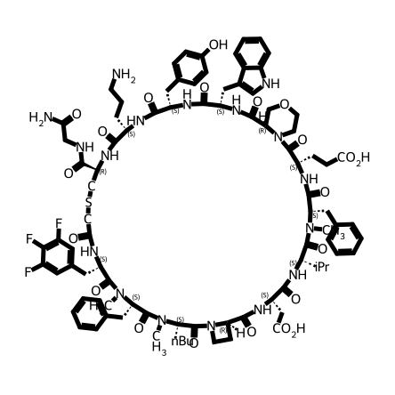 CCCC[C@H]1C(=O)N2CC[C@@H]2C(=O)N[C@@H](CC(=O)O)C(=O)N[C@@H](C(C)C)C(=O)N(C)[C@@H](Cc2ccccc2)C(=O)N[C@@H](CCC(=O)O)C(=O)N2CCOC[C@@H]2C(=O)N[C@@H](Cc2c[nH]c3ccccc23)C(=O)N[C@@H](Cc2ccc(O)cc2)C(=O)N[C@@H](CCCN)C(=O)N[C@H](C(=O)NCC(N)=O)CSCC(=O)N[C@@H](Cc2cc(F)c(F)c(F)c2)C(=O)N(C)[C@@H](Cc2ccccc2)C(=O)N1C